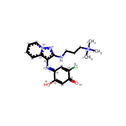 C[N+](C)(C)CCCNc1nn2ccccc2c1/N=C1\C=C(Cl)C(=O)C=C1O